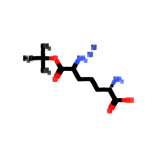 CC(C)(C)OC(=O)C(N)CCC[C@H](N)C(=O)O.[N].[N]